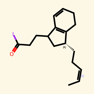 C/C=C\CC[C@@H]1CC(CCC(=O)I)C2=C1CCC=C2